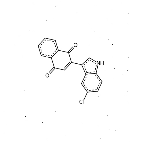 O=C1C=C(c2c[nH]c3ccc(Cl)cc23)C(=O)c2ccccc21